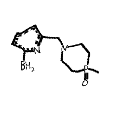 Bc1cccc(CN2CCP(C)(=O)CC2)n1